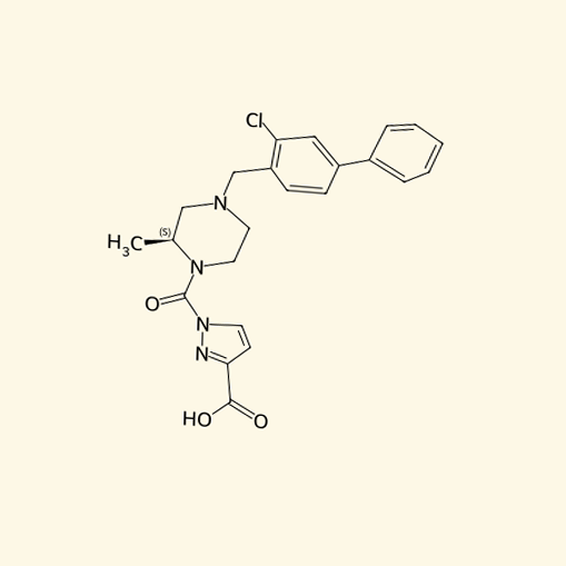 C[C@H]1CN(Cc2ccc(-c3ccccc3)cc2Cl)CCN1C(=O)n1ccc(C(=O)O)n1